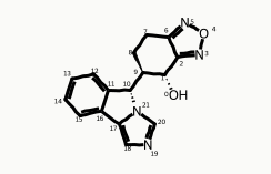 O[C@H]1c2nonc2CC[C@@H]1[C@H]1c2ccccc2-c2cncn21